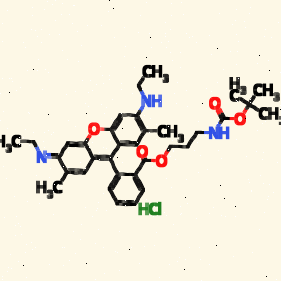 CCN=c1cc2oc3cc(NCC)c(C)cc3c(-c3ccccc3C(=O)OCCCNC(=O)OC(C)(C)C)c-2cc1C.Cl